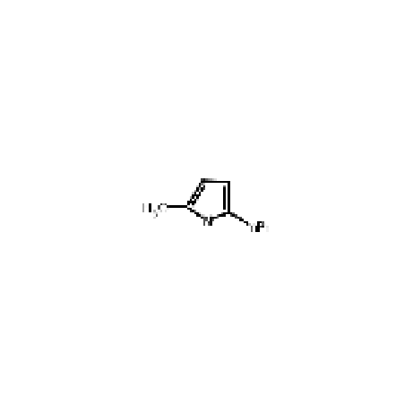 CCCC1=CC=C(C)[N]1